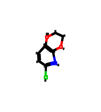 Clc1ccc2c(n1)OCCO2